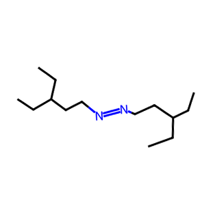 CCC(CC)CCN=NCCC(CC)CC